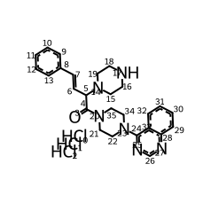 Cl.Cl.Cl.O=C(C(/C=C/c1ccccc1)N1CCNCC1)N1CCN(c2ncnc3ccccc23)CC1